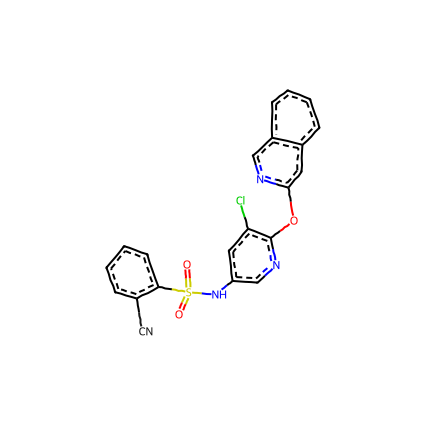 N#Cc1ccccc1S(=O)(=O)Nc1cnc(Oc2cc3ccccc3cn2)c(Cl)c1